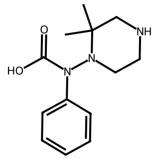 CC1(C)CNCCN1N(C(=O)O)c1ccccc1